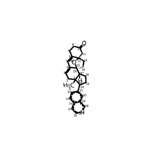 CC12CC=C3C=C4CCC(=O)C[C@]45CC[C@]3(O5)[C@@H]1CCC2c1ccc2ccncc2c1